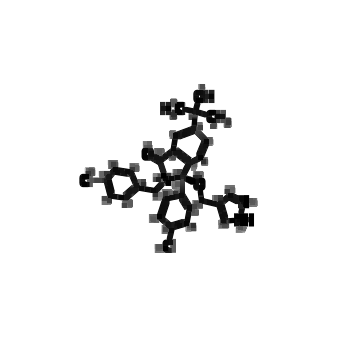 CC(C)(O)c1ccc2c(c1)C(=O)N(Cc1ccc(Cl)cc1)[C@@]2(OCc1cn[nH]c1)c1ccc(Cl)cc1